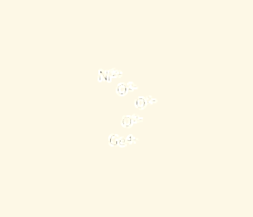 [Ge+4].[Ni+2].[O-2].[O-2].[O-2]